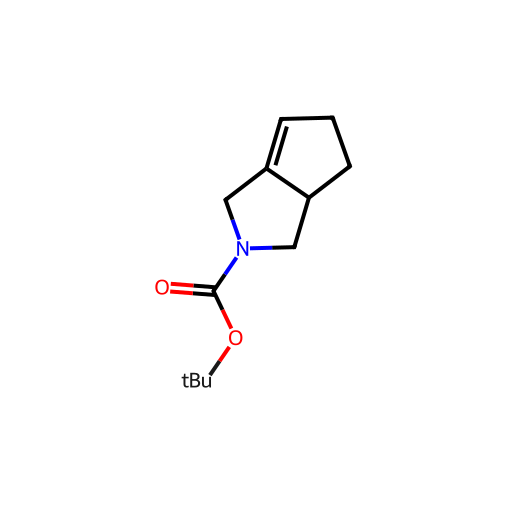 CC(C)(C)OC(=O)N1CC2=CCCC2C1